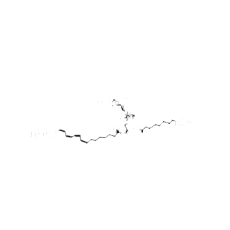 CCCCC\C=C/C=C\C=C/C=C\CCCCCCC(=O)O[C@H](COC(=O)CCCCCCCCCCCCCCCCC)COP(=O)([O-])OCC[N+](C)(C)C